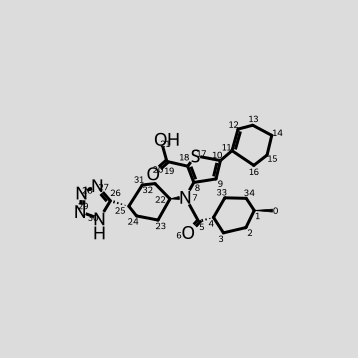 C[C@H]1CC[C@H](C(=O)N(c2cc(C3=CCCCC3)sc2C(=O)O)[C@H]2CC[C@H](c3nnn[nH]3)CC2)CC1